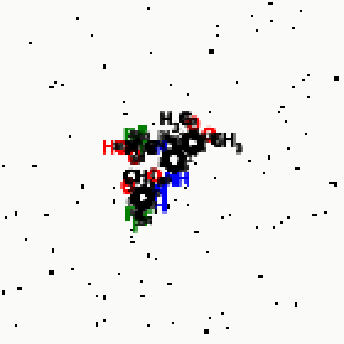 COc1cc(NC(=O)NC2CCC3(c4ccc(OC)c(OC)c4)CCN(C)C3C2)cc(C(F)(F)F)c1.O=C(O)C(F)(F)F